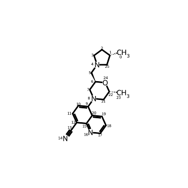 C[C@H]1CCN(C[C@@H]2CN(c3ccc(C#N)c4ncccc34)C[C@@H](C)O2)C1